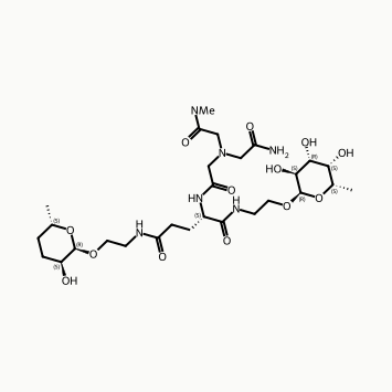 CNC(=O)CN(CC(N)=O)CC(=O)N[C@@H](CCC(=O)NCCO[C@@H]1O[C@@H](C)CC[C@@H]1O)C(=O)NCCO[C@@H]1O[C@@H](C)[C@@H](O)[C@@H](O)[C@@H]1O